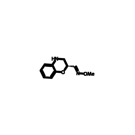 CON=C[C@H]1CNc2ccccc2O1